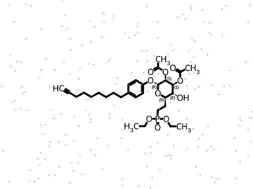 C#CCCCCCCCc1ccc(O[C@H]2O[C@H](CCP(=O)(OCC)OCC)[C@@H](O)[C@H](OC(C)=O)[C@@H]2OC(C)=O)cc1